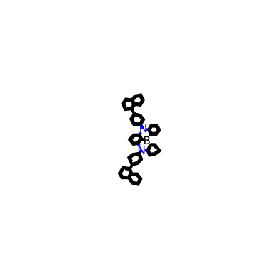 c1ccc2c(c1)B1c3ccccc3N(c3ccc(-c4cccc5ccccc45)cc3)c3cccc(c31)N2c1ccc(-c2cccc3ccccc23)cc1